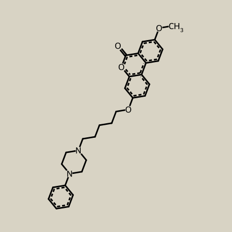 COc1ccc2c(c1)c(=O)oc1cc(OCCCCCN3CCN(c4ccccc4)CC3)ccc12